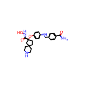 NC(=O)c1ccc(CNc2ccc(OC3(C(=O)NO)CCC4(CCNCC4)C3)cc2)cc1